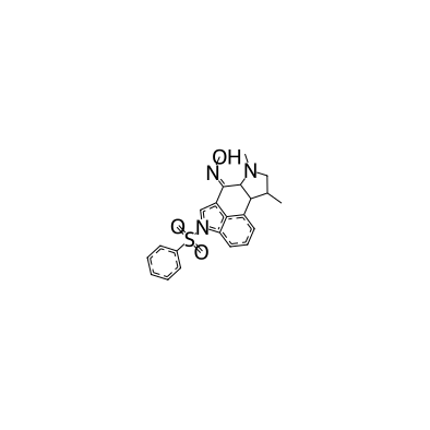 CC1CN(C)C2C(=NO)c3cn(S(=O)(=O)c4ccccc4)c4cccc(c34)C12